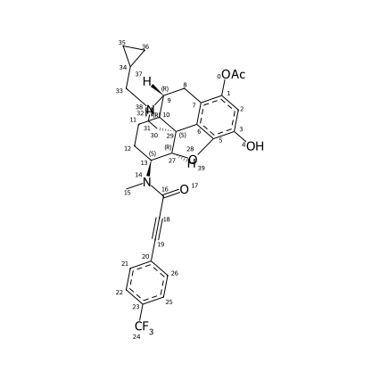 CC(=O)Oc1cc(O)c2c3c1C[C@@H]1[C@@H]4CC[C@H](N(C)C(=O)C#Cc5ccc(C(F)(F)F)cc5)[C@H](O2)[C@]34CCN1CC1CC1